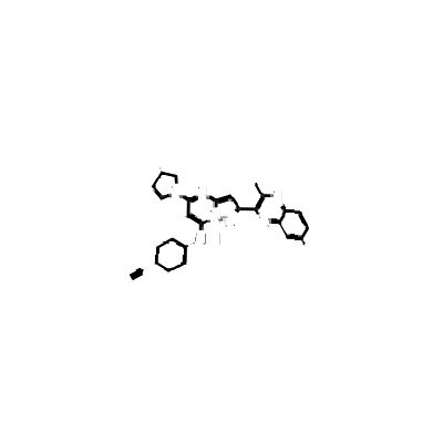 C#C[C@H]1CC[C@@H](Nc2cc(N3CC[C@@H](F)C3)nc3cc(-c4nc5cc(F)ccc5nc4C)nn23)CC1